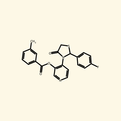 Cc1cccc(C(=O)Oc2cnccc2N2C(=O)CSC2c2ccc(F)cc2)c1